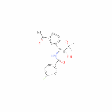 CCC(=O)c1ccc2c(c1)[C@H](NC(=O)c1ccc(F)cc1)[C@@H](O)C(C)(C)O2